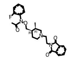 CC(=O)N(OC[C@@H]1CCN(CCN2C(=O)c3ccccc3C2=O)C[C@@H]1C)c1ccccc1F